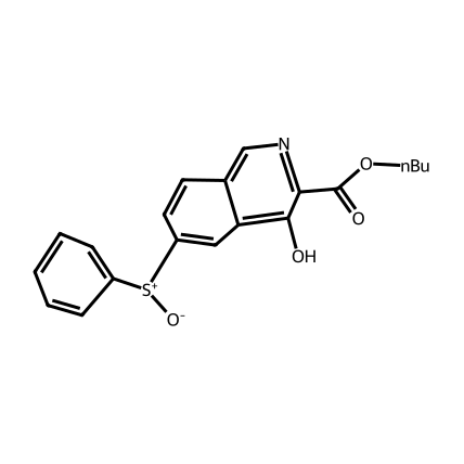 CCCCOC(=O)c1ncc2ccc([S+]([O-])c3ccccc3)cc2c1O